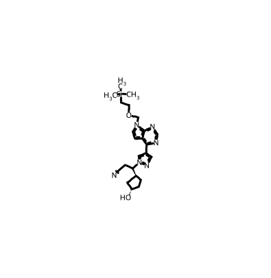 C[Si](C)(C)CCOCn1ccc2c(-c3cnn(C(CC#N)[C@H]4CC[C@H](O)C4)c3)ncnc21